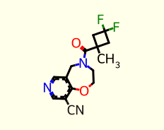 CC1(C(=O)N2CCOc3c(C#N)cncc3C2)CC(F)(F)C1